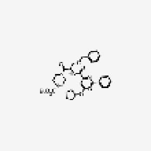 CCOC(=O)N1CCN(C(=O)C(COCc2ccccc2)NC(=O)c2cc(OC3CCCC3)nc(-c3ccccc3)n2)CC1